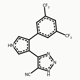 N#Cc1[nH]nnc1-c1c[nH]cc1-c1cc(C(F)(F)F)cc(C(F)(F)F)c1